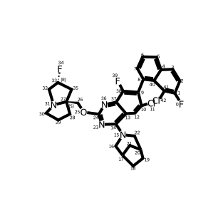 Fc1ccc2cccc(-c3c(Cl)cc4c(N5CC6CCC(C6)C5)nc(OC[C@@]56CCCN5C[C@H](F)C6)nc4c3F)c2c1Cl